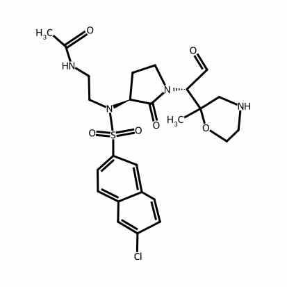 CC(=O)NCCN([C@H]1CCN([C@H](C=O)C2(C)CNCCO2)C1=O)S(=O)(=O)c1ccc2cc(Cl)ccc2c1